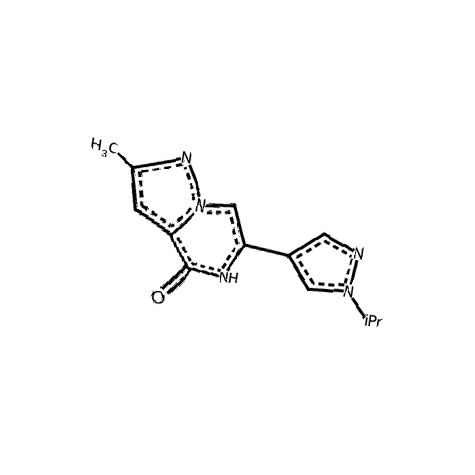 Cc1cc2c(=O)[nH]c(-c3cnn(C(C)C)c3)cn2n1